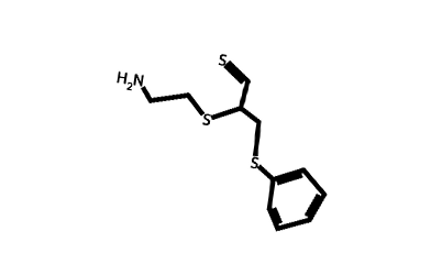 NCCSC(C=S)CSc1ccccc1